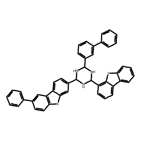 c1ccc(-c2cccc(C3NC(c4ccc5c(c4)sc4ccc(-c6ccccc6)cc45)NC(c4cccc5c4sc4ccccc45)N3)c2)cc1